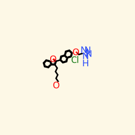 O=CCCCCc1c(-c2ccc3c(Cl)c(OCc4nnn[nH]4)ccc3c2)oc2ccccc12